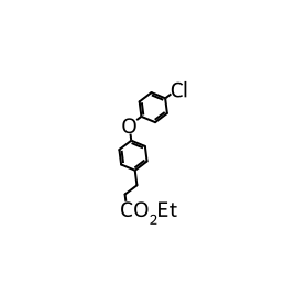 CCOC(=O)CCc1ccc(Oc2ccc(Cl)cc2)cc1